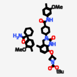 COc1cc(C2(C(N)=O)CCCCC2)ccc1C.COc1cc(NC(=O)C2CCC(N3Cc4c(C)ccc(OC5CN(C(=O)OC(C)(C)C)C5)c4NC3=O)CC2)ccc1C